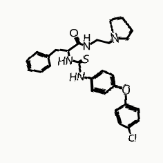 O=C(NCCN1CCCC1)C(Cc1ccccc1)NC(=S)Nc1ccc(Oc2ccc(Cl)cc2)cc1